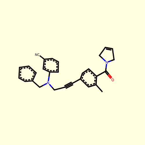 Cc1cc(C#CCN(Cc2ccccc2)c2cccc(C#N)c2)ccc1C(=O)N1CC=CC1